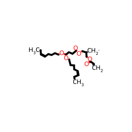 [CH2]C(COC(=O)C=C)COC(=O)CCC(OCCCC/C=C\CC)OCCCC/C=C\CC